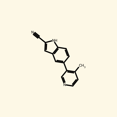 Cc1ccncc1-c1ccc2[nH]c(C#N)cc2c1